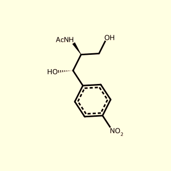 CC(=O)N[C@@H](CO)[C@@H](O)c1ccc([N+](=O)[O-])cc1